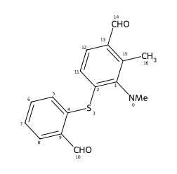 CNc1c(Sc2ccccc2C=O)ccc(C=O)c1C